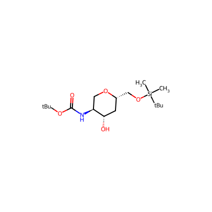 CC(C)(C)OC(=O)N[C@H]1CO[C@H](CO[Si](C)(C)C(C)(C)C)C[C@@H]1O